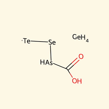 O=C(O)[AsH][Se][Te].[GeH4]